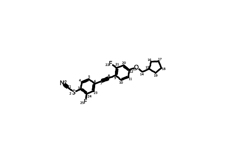 N#CSc1ccc(C#Cc2ccc(OCC3CCCC3)cc2F)cc1F